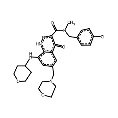 CN(Cc1ccc(Cl)cc1)C(=O)c1n[nH]c2c(NC3CCOCC3)cc(CN3CCOCC3)cc2c1=O